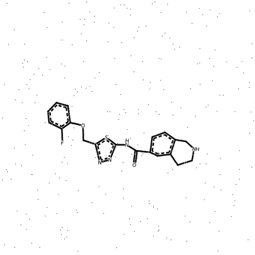 O=C(Nc1nnc(COc2ccccc2F)s1)c1ccc2c(c1)CCNC2